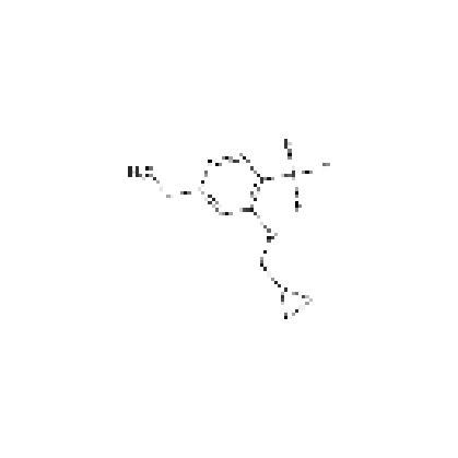 CCc1ccc(C(F)(F)F)c(OCC2CC2)c1